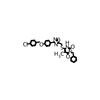 Cc1c(SCc2nc(-c3ccc(OCc4ccc(Cl)cc4)cc3)no2)[nH]c(=O)n(Cc2ccccc2)c1=O